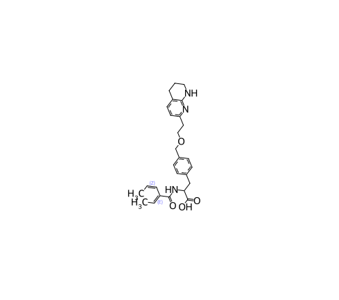 C/C=C\C(=C/C)C(=O)NC(Cc1ccc(COCCc2ccc3c(n2)NCCC3)cc1)C(=O)O